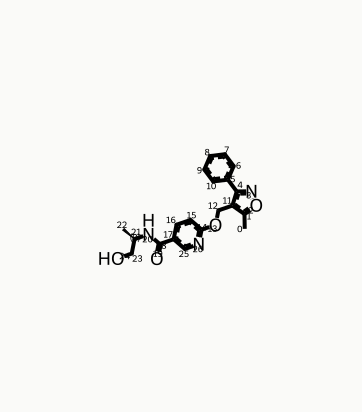 Cc1onc(-c2ccccc2)c1COc1ccc(C(=O)N[C@H](C)CO)cn1